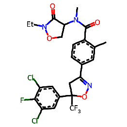 CCN1OCC(N(C)C(=O)c2ccc(C3=NOC(c4cc(Cl)c(F)c(Cl)c4)(C(F)(F)F)C3)cc2C)C1=O